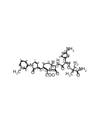 C[n+]1cccc(N2C=C/C(=C\C3=C(C(=O)[O-])N4C(=O)[C@@H](NC(=O)/C(=N\OC(C)(C)C(N)=O)c5csc(N)n5)[C@H]4CC3)C2=O)c1